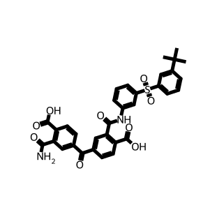 CC(C)(C)c1cccc(S(=O)(=O)c2cccc(NC(=O)c3cc(C(=O)c4ccc(C(=O)O)c(C(N)=O)c4)ccc3C(=O)O)c2)c1